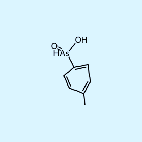 Cc1ccc([AsH](=O)O)cc1